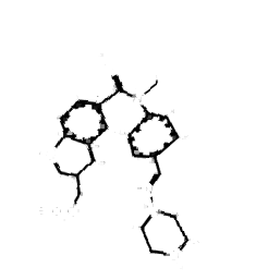 CCOC(=O)CC1COc2ccc(C(=O)N(C)c3ccc(C=NN4CCOCC4)cc3)cc2C1